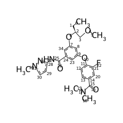 CC[C@@H](COC)Oc1cc(Oc2ccc(C(=O)N(C)C)cc2F)cc(C(=O)Nc2ccn(C)n2)c1